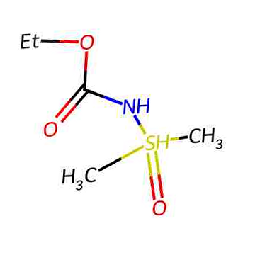 CCOC(=O)N[SH](C)(C)=O